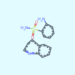 Nc1ccccc1S(N)(=O)=O.c1ccc2ncccc2c1